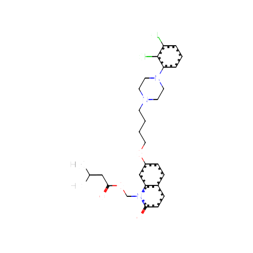 CC(C)CC(=O)OCn1c(=O)ccc2ccc(OCCCCN3CCN(c4cccc(Cl)c4Cl)CC3)cc21